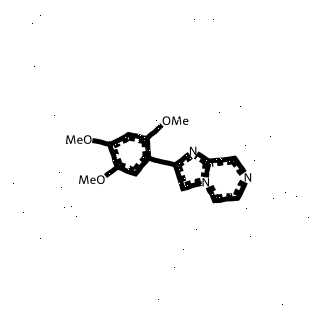 COc1cc(OC)c(-c2cn3ccncc3n2)cc1OC